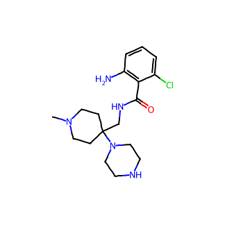 CN1CCC(CNC(=O)c2c(N)cccc2Cl)(N2CCNCC2)CC1